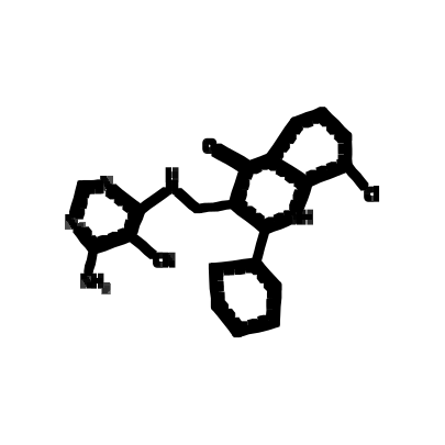 N#Cc1c(N)ncnc1NCc1c(-c2ccccc2)[nH]c2c(Cl)cccc2c1=O